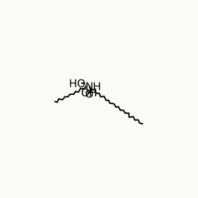 CCCCCCCCCCCCCCCCCCCCCC(=O)N[C@@H](CO)[C@H](O)CCCCCCCCCCC